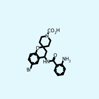 Nc1ccccc1C(=O)NC1CC2(CCN(C(=O)O)CC2)Oc2ccc(Br)cc21